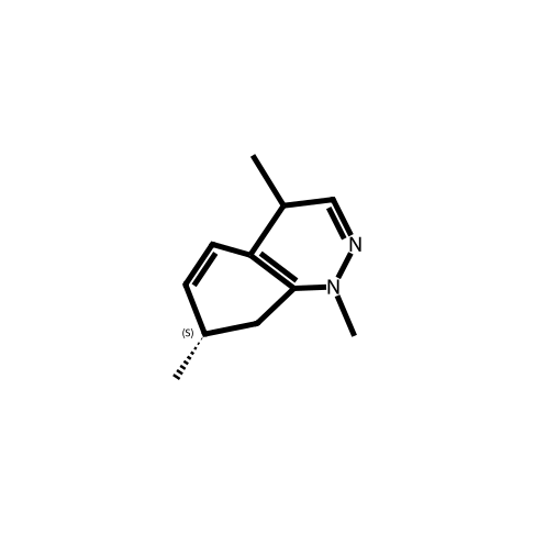 CC1C=NN(C)C2=C1C=C[C@@H](C)C2